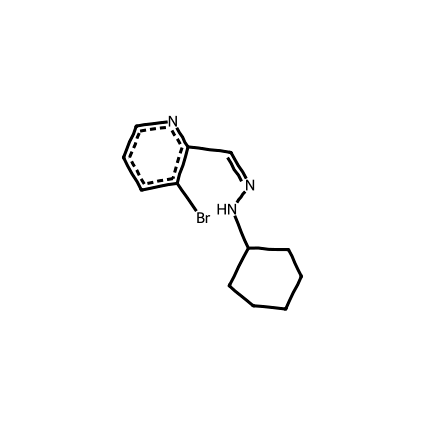 Brc1cccnc1/C=N\NC1CCCCC1